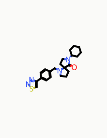 O=C1N(C2CCCCC2)CCC12CCCN2Cc1ccc(-c2csnn2)cc1